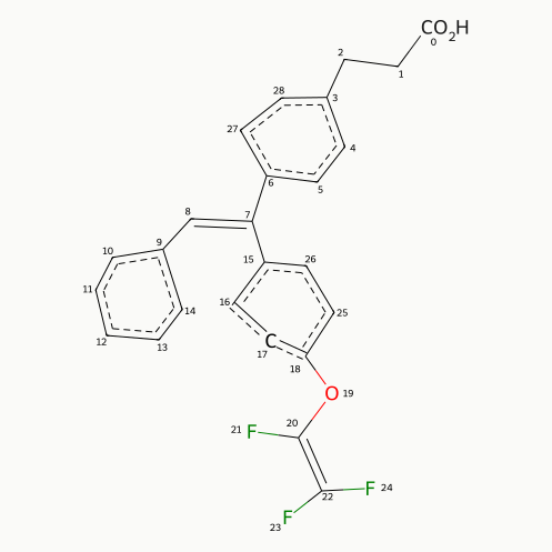 O=C(O)CCc1ccc(C(=Cc2ccccc2)c2ccc(OC(F)=C(F)F)cc2)cc1